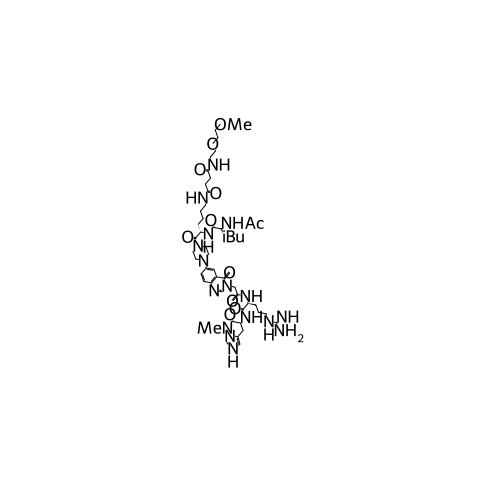 CC[C@H](C)[C@H](NC(C)=O)C(=O)N[C@@H](CCCCNC(=O)CCC(=O)NCCOCCOC)C(=O)N1CCN(c2ccc3ncn(CC(=O)N[C@@H](CCCNC(=N)N)C(=O)NC(Cc4c[nH]cn4)C(=O)NC)c(=O)c3c2)CC1